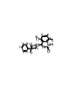 COc1ccc(C)c2[nH]c(=O)nc(NCC(C)(C)c3ccccc3)c12